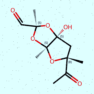 CC(=O)[C@@]1(C)C[C@]2(O)O[C@](C)(C=O)O[C@]2(C)O1